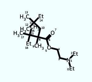 CCN(CC)CCOC(=O)C(C)(CC(C)(C)CC)C(C)(C)CC